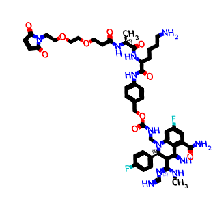 CN/C(=N\C=N)C1C(=N)c2c(C(N)=O)cc(F)cc2N(CNC(=O)OCc2ccc(NC(=O)C(CCCCN)NC(=O)[C@H](C)NC(=O)CCOCCOCCN3C(=O)C=CC3=O)cc2)[C@@H]1c1ccc(F)cc1